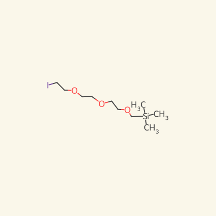 C[Si](C)(C)COCCOCCOCCI